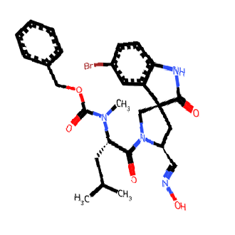 CC(C)C[C@@H](C(=O)N1C[C@]2(C[C@H]1C=NO)C(=O)Nc1ccc(Br)cc12)N(C)C(=O)OCc1ccccc1